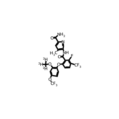 [2H]C([2H])([2H])Oc1cc(OC(F)(F)F)ccc1Oc1ccc(C(F)(F)F)c(F)c1C(=O)Nc1cnc(C(N)=O)cc1C